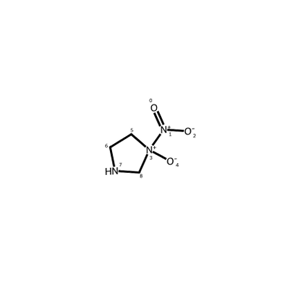 O=[N+]([O-])[N+]1([O-])CCNC1